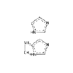 CN.c1c[nH]cn1.c1c[nH]cn1